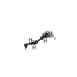 NC[C@H](NC(=O)c1ccc(C#Cc2ccc(NC(=O)CNCCc3cccc(F)c3)cc2)cc1)C(=O)NO